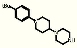 CC(C)(C)c1ccc(N2CCC(N3CCNCC3)CC2)cc1